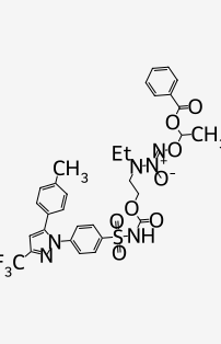 CCN(CCOC(=O)NS(=O)(=O)c1ccc(-n2nc(C(F)(F)F)cc2-c2ccc(C)cc2)cc1)[N+]([O-])=NOC(C)OC(=O)c1ccccc1